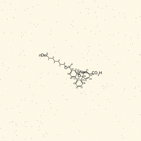 CCCCCCCCCCCCCCCCOC(C)c1ccc(-c2ccccc2C2(OCCCCCCCCC)C=CC(C(=O)O)=CC2)cc1